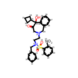 O=C1CN(CCN(Cc2ccccc2)S(=O)(=O)c2ccccc2[N+](=O)[O-])Cc2ccccc2C1(O)C1CCC1